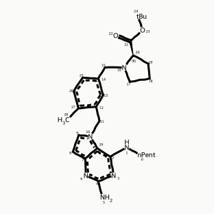 CCCCCNc1nc(N)nc2ccn(Cc3cc(CN4CCC[C@@H]4C(=O)OC(C)(C)C)ccc3C)c12